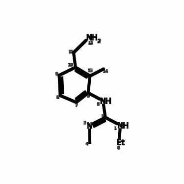 CCNC(=NC)Nc1cccc(CN)c1C